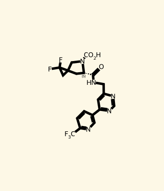 O=C(NCc1cc(-c2ccc(C(F)(F)F)nc2)ncn1)[C@@H]1CC2(CN1C(=O)O)CC2(F)F